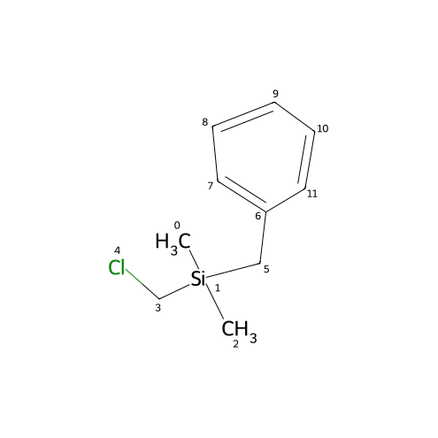 C[Si](C)(CCl)Cc1ccccc1